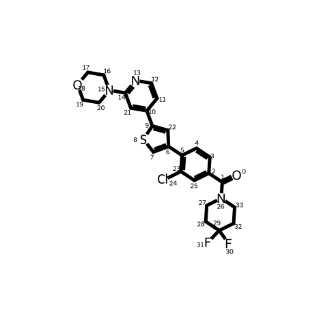 O=C(c1ccc(-c2csc(-c3ccnc(N4CCOCC4)c3)c2)c(Cl)c1)N1CCC(F)(F)CC1